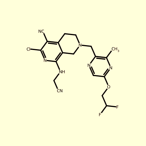 Cc1nc(OCC(F)F)cnc1CN1CCc2c(C#N)c(Cl)nc(NCC#N)c2C1